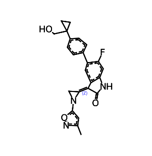 Cc1cc(N2C/C2=C2/C(=O)Nc3cc(F)c(-c4ccc(C5(CO)CC5)cc4)cc32)on1